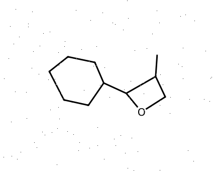 CC1COC1C1CCCCC1